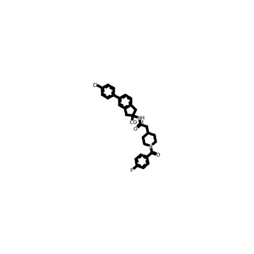 CCOC(=O)C1(NC(=O)CC2CCN(C(=O)c3ccc(F)cc3)CC2)Cc2ccc(-c3ccc(Cl)cc3)cc2C1